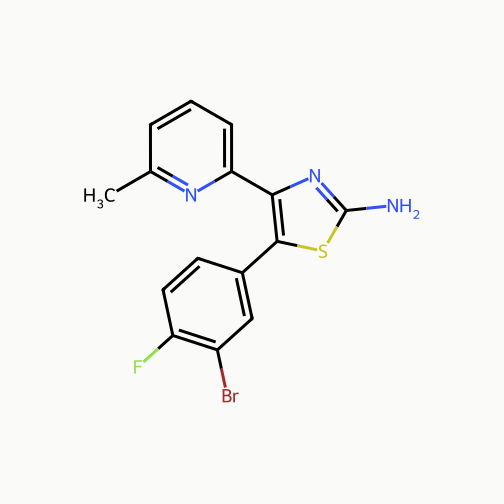 Cc1cccc(-c2nc(N)sc2-c2ccc(F)c(Br)c2)n1